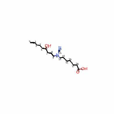 C=CCCCC(O)CCCN(C#N)CCCCCCC(=O)O